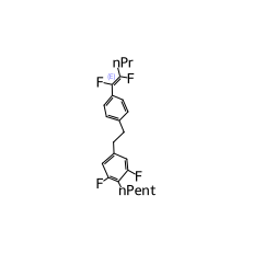 CCCCCc1c(F)cc(CCc2ccc(/C(F)=C(\F)CCC)cc2)cc1F